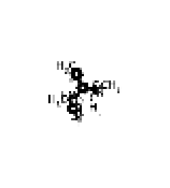 Cc1ccc(-c2cc(C(=O)N[C@H](C)c3ccc(C(F)(F)F)nc3)cc(-c3oc(C)nc3C)c2)c(F)c1